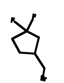 FC1(F)CCC(CBr)C1